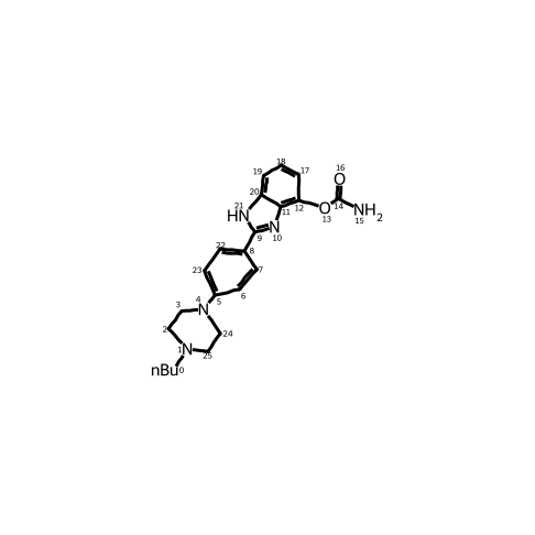 CCCCN1CCN(c2ccc(-c3nc4c(OC(N)=O)cccc4[nH]3)cc2)CC1